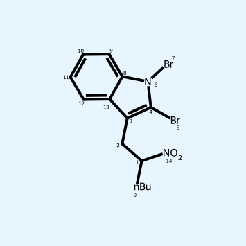 CCCCC(Cc1c(Br)n(Br)c2ccccc12)[N+](=O)[O-]